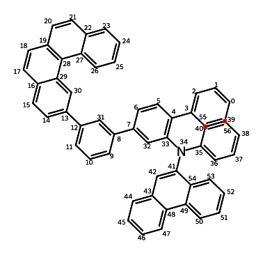 c1ccc(-c2ccc(-c3cccc(-c4ccc5ccc6ccc7ccccc7c6c5c4)c3)cc2N(c2ccccc2)c2cc3ccccc3c3ccccc23)cc1